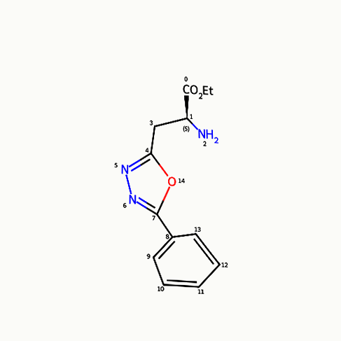 CCOC(=O)[C@@H](N)Cc1nnc(-c2ccccc2)o1